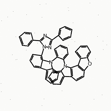 c1ccc(-c2nc(-c3ccccc3)n(-c3cccc4c5ccccc5n(-c5ccccc5-n5c6ccccc6c6ccc7oc8ccccc8c7c65)c34)n2)cc1